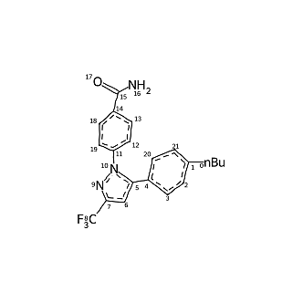 CCCCc1ccc(-c2cc(C(F)(F)F)nn2-c2ccc(C(N)=O)cc2)cc1